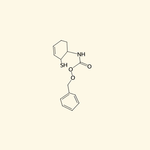 O=C(NC1CCC=CC1S)OOCc1ccccc1